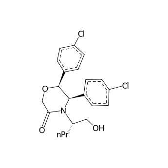 CCC[C@@H](CO)N1C(=O)CO[C@@H](c2ccc(Cl)cc2)[C@H]1c1ccc(Cl)cc1